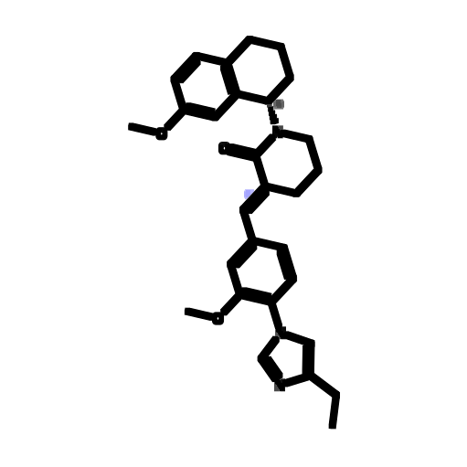 CCc1cn(-c2ccc(/C=C3\CCCN([C@H]4CCCc5ccc(OC)cc54)C3=O)cc2OC)cn1